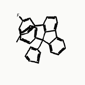 Cc1cc(F)cc(-c2cccc3c2C(c2ccccc2)(c2ccccc2)c2ccccc2-3)c1